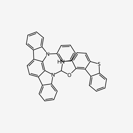 c1ccc(-n2c3ccccc3c3ccc4c5ccccc5n(C5Nc6ccc7sc8ccccc8c7c6O5)c4c32)cc1